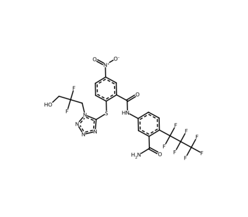 NC(=O)c1cc(NC(=O)c2cc([N+](=O)[O-])ccc2Sc2nnnn2CC(F)(F)CO)ccc1C(F)(F)C(F)(F)C(F)(F)F